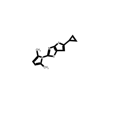 Cc1ccc(C)n1-c1nc2sc(C3CC3)cc2s1